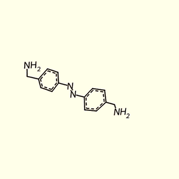 NCc1ccc(N=Nc2ccc(CN)cc2)cc1